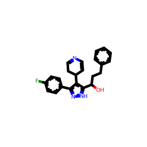 OC(CCc1ccccc1)c1[nH]nc(-c2ccc(F)cc2)c1C1C=CN=CC1